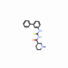 CN1CCCC(C(=O)NC(=S)Nc2cccc(-c3ccccc3)c2)C1